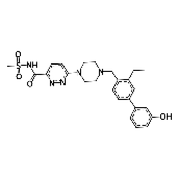 CCc1cc(-c2cccc(O)c2)ccc1CN1CCN(c2ccc(C(=O)NS(C)(=O)=O)nn2)CC1